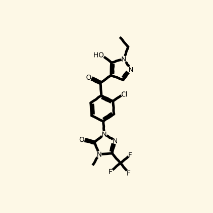 CCn1ncc(C(=O)c2ccc(-n3nc(C(F)(F)F)n(C)c3=O)cc2Cl)c1O